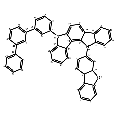 C1=CC2c3ccccc3OC2C=C1n1c2ccccc2c2ccc3c(c4ccccc4n3-c3cccc(-c4cccc(-c5ccccc5)c4)c3)c21